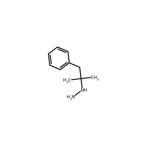 CC(C)(Cc1ccccc1)NN